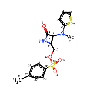 CC(=O)N(c1cccs1)C1C(=O)NC1COS(=O)(=O)c1ccc(C)cc1